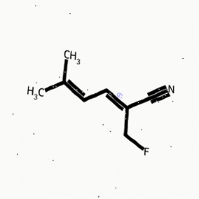 CC(C)=C/C=C(/C#N)CF